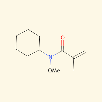 C=C(C)C(=O)N(OC)C1CCCCC1